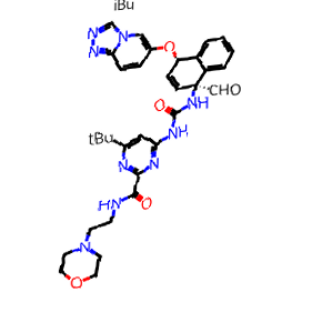 CC[C@H](C)c1nnc2ccc(O[C@@H]3C=C[C@](C=O)(NC(=O)Nc4cc(C(C)(C)C)nc(C(=O)NCCN5CCOCC5)n4)c4ccccc43)cn12